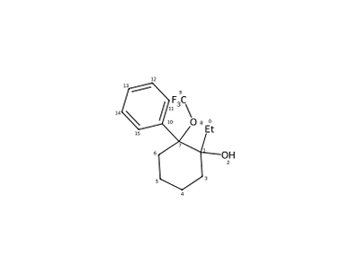 CCC1(O)CCCCC1(OC(F)(F)F)c1ccccc1